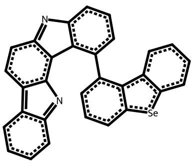 c1cc2c(c(-c3cccc4[se]c5ccccc5c34)c1)-c1c3c(ccc1=N2)=c1ccccc1=N3